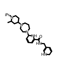 CC(C)N1CCC(N2CCCN(C3C=CC=C(C(=O)NCC4=CNCC=C4)N3)CC2)CC1C